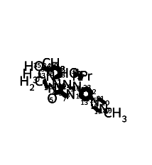 C=CCn1c(=O)c2cnc(Nc3ccc(N4CCN(C)CC4)cc3)nc2n1-c1cccc(C(C)(C)O)n1.CC(C)O